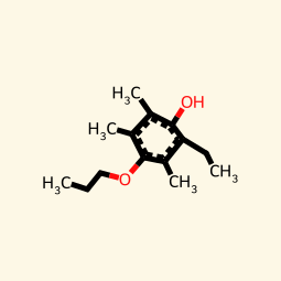 CCCOc1c(C)c(C)c(O)c(CC)c1C